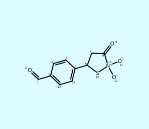 O=Cc1ccc(C2CC(=O)[N+]([O-])([O-])S2)cc1